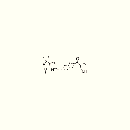 CC[C@H](CO)C(=O)N1CC2(CC(Cc3ccc(C(F)(F)F)c(OC)n3)C2)C1